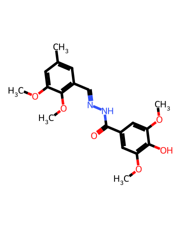 COc1cc(C(=O)N/N=C/c2cc(C)cc(OC)c2OC)cc(OC)c1O